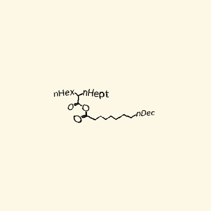 CCCCCCCCCCCCCCCCCC(=O)OC(=O)C(CCCCCC)CCCCCCC